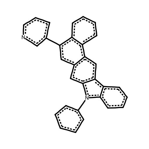 c1ccc(-n2c3ccccc3c3cc4c(cc(-c5cccnc5)c5ccccc54)cc32)cc1